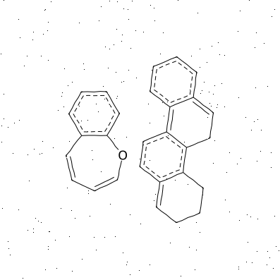 C1=COc2ccccc2C=C1.C1=c2ccc3c(c2CCC1)CC=c1ccccc1=3